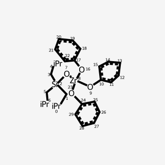 CC(C)C[Si](CC(C)C)(CC(C)C)[O][Zr]([O]c1ccccc1)([O]c1ccccc1)[O]c1ccccc1